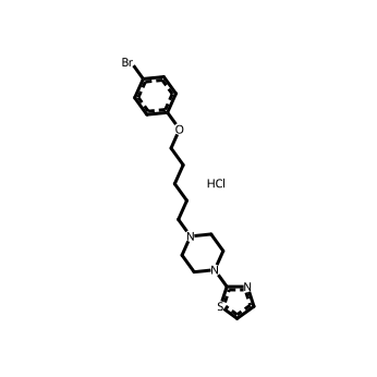 Brc1ccc(OCCCCCN2CCN(c3nccs3)CC2)cc1.Cl